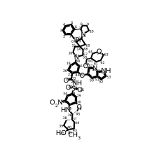 CC(C)c1ccccc1[C@H]1CCCN1C1CC2(CCN(c3ccc(C(=O)NS(=O)(=O)c4cc5c(c([N+](=O)[O-])c4)N[C@@H]([C@H]4CC[C@](C)(O)CC4)CO5)c(Oc4cc5cc[nH]c5nc4OC[C@@H]4CCCOC4)c3)CC2)C1